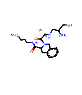 CSCCCNC(=O)C1Cc2ccccc2CN1C(=O)[C@@H](NCC(N)CS)C(C)C